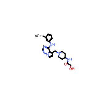 CCCCCCCCc1cccc(Nc2ncnn3ccc(CN4CCC(NC(=O)CO)CC4)c23)c1